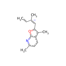 C=C/C(C)=C\c1oc2nc(C)ccc2c1C